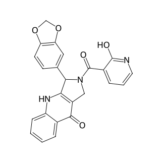 O=C(c1cccnc1O)N1Cc2c([nH]c3ccccc3c2=O)C1c1ccc2c(c1)OCO2